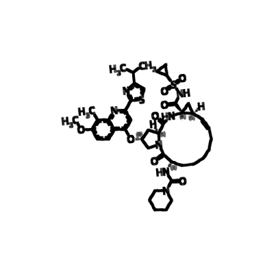 COc1ccc2c(O[C@@H]3C[C@H]4C(=O)N[C@]5(C(=O)NS(=O)(=O)C6CC6)C[C@H]5C=CCCCCC[C@H](NC(=O)N5CCCCC5)C(=O)N4C3)cc(-c3nc(C(C)C)cs3)nc2c1C